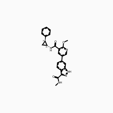 CNC(=O)c1n[nH]c2cc(-c3cnc(OC)c(C(=O)N[C@@H]4C[C@H]4c4ccccc4)c3)ccc12